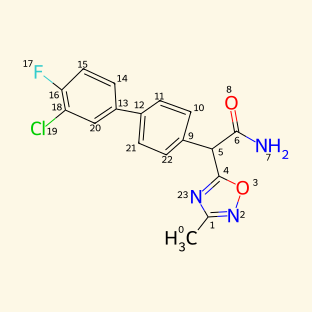 Cc1noc(C(C(N)=O)c2ccc(-c3ccc(F)c(Cl)c3)cc2)n1